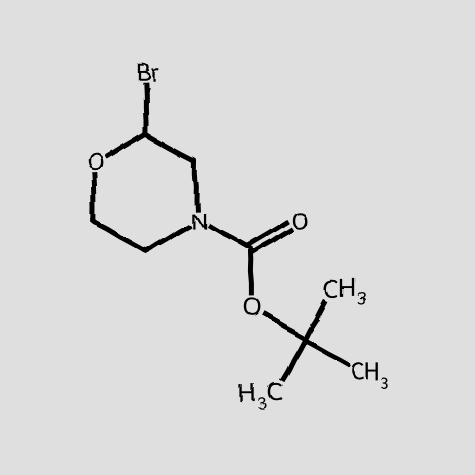 CC(C)(C)OC(=O)N1CCOC(Br)C1